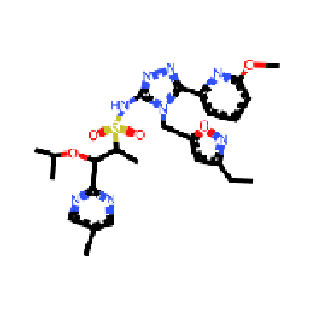 CCc1cc(Cn2c(NS(=O)(=O)C(C)C(OC(C)C)c3ncc(C)cn3)nnc2-c2cccc(OC)n2)on1